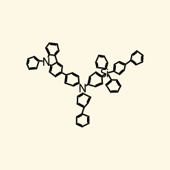 c1ccc(-c2ccc(N(c3ccc(-c4ccc5c(c4)c4ccccc4n5-c4ccccc4)cc3)c3ccc([Si](c4ccccc4)(c4ccccc4)c4ccc(-c5ccccc5)cc4)cc3)cc2)cc1